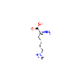 NCCCC[C@H](N)C(=O)O.[C]